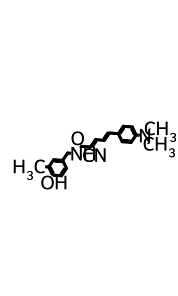 Cc1cc(CNC(=O)/C(C#N)=C/C=C/c2ccc(N(C)C)cc2)ccc1O